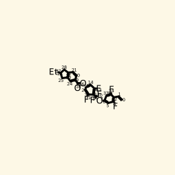 C=Cc1c(F)cc(OC(F)(F)c2c(F)cc(OC(=O)c3ccc4c(c3)CC(CC)C4)cc2F)cc1F